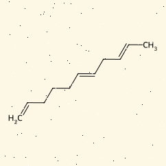 C=CCCCC=CCC=CC